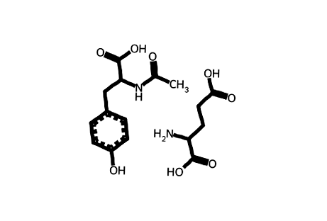 CC(=O)NC(Cc1ccc(O)cc1)C(=O)O.NC(CCC(=O)O)C(=O)O